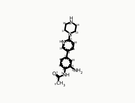 CC(=O)Nc1ccc(-c2ccc(N3CCNCC3)nc2)cc1N